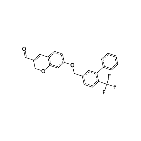 O=CC1=Cc2ccc(OCc3ccc(C(F)(F)F)c(-c4ccccc4)c3)cc2OC1